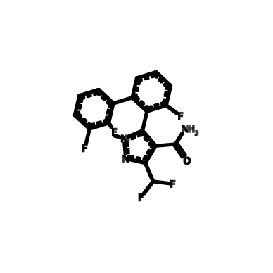 Cn1nc(C(F)F)c(C(N)=O)c1-c1c(F)cccc1-c1cccc(F)c1F